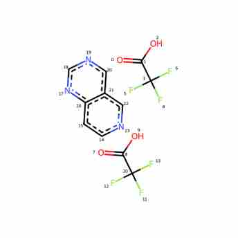 O=C(O)C(F)(F)F.O=C(O)C(F)(F)F.c1cc2ncncc2cn1